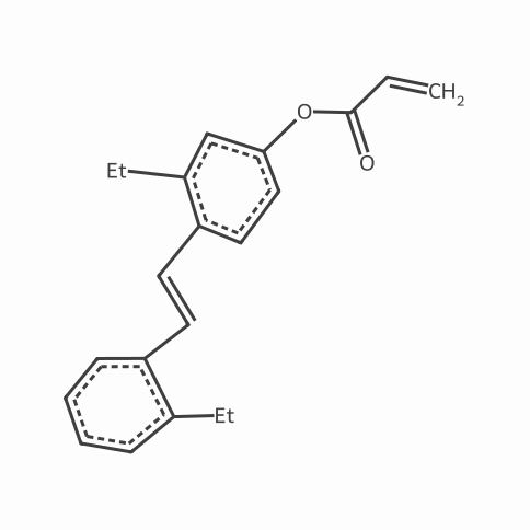 C=CC(=O)Oc1ccc(/C=C/c2ccccc2CC)c(CC)c1